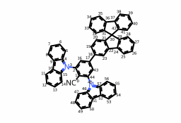 N#Cc1c(-n2c3ccccc3c3ccccc32)cc(-c2ccc3c(c2)-c2ccccc2C32c3ccccc3-c3ccccc32)cc1-n1c2ccccc2c2ccccc21